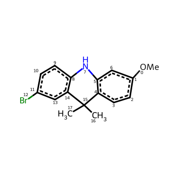 COc1ccc2c(c1)Nc1ccc(Br)cc1C2(C)C